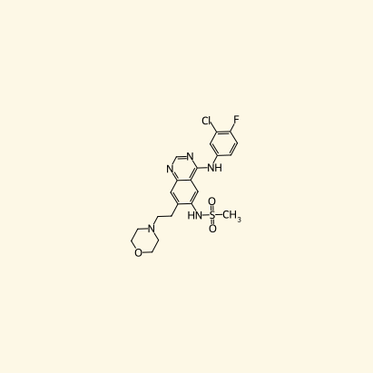 CS(=O)(=O)Nc1cc2c(Nc3ccc(F)c(Cl)c3)ncnc2cc1CCN1CCOCC1